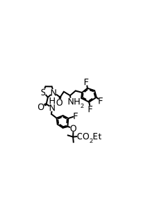 CCOC(=O)C(C)(C)Oc1ccc(CNC(=O)C2SCCN2C(=O)CC(N)Cc2cc(F)c(F)cc2F)cc1F